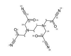 N#CC(=O)CN(CCN(CC(=O)C#N)CC(=O)C#N)CC(=O)C#N